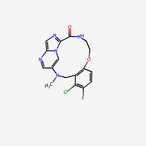 CN1Cc2c(ccc(F)c2Cl)OCCNC(=O)c2ncc3ncc1cn23